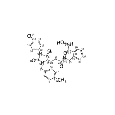 Cc1ccc(CN2C(=O)N(c3ccc(Cl)cc3)C(=O)C2CCC(=O)NCc2ccccc2C(=O)NO)cc1